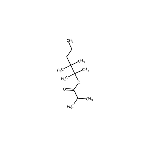 CCCC(C)(C)C(C)(C)OC(=O)C(C)C